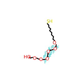 OCCOCCOCC(F)(F)OC(F)(F)C(F)(F)OC(F)(F)C(F)(F)OC(F)(F)COCCCCCCCCCCS